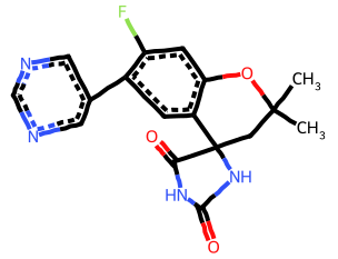 CC1(C)CC2(NC(=O)NC2=O)c2cc(-c3cncnc3)c(F)cc2O1